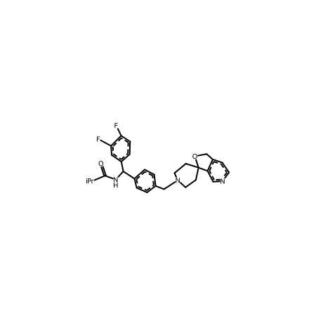 CC(C)C(=O)NC(c1ccc(CN2CCC3(CC2)OCc2ccncc23)cc1)c1ccc(F)c(F)c1